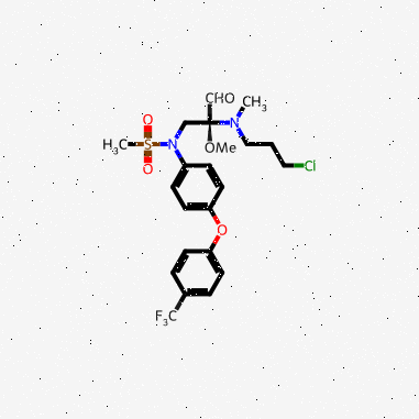 CO[C@](C=O)(CN(c1ccc(Oc2ccc(C(F)(F)F)cc2)cc1)S(C)(=O)=O)N(C)CCCCl